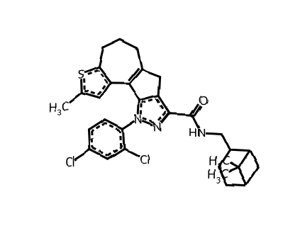 Cc1cc2c(s1)CCCC1=C2c2c(c(C(=O)NCC3CCC4CC3C4(C)C)nn2-c2ccc(Cl)cc2Cl)C1